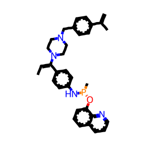 C=C(C)c1ccc(CN2CCN(/C(=C/C)c3ccc(NP(C)Oc4cccc5cccnc45)cc3)CC2)cc1